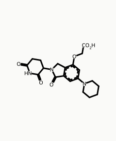 O=C(O)COc1cc(N2CCCCC2)cc2c1CN(C1CCC(=O)NC1=O)C2=O